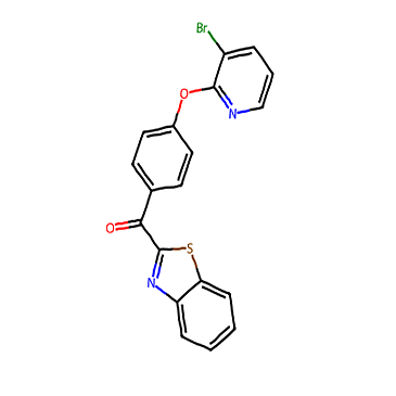 O=C(c1ccc(Oc2ncccc2Br)cc1)c1nc2ccccc2s1